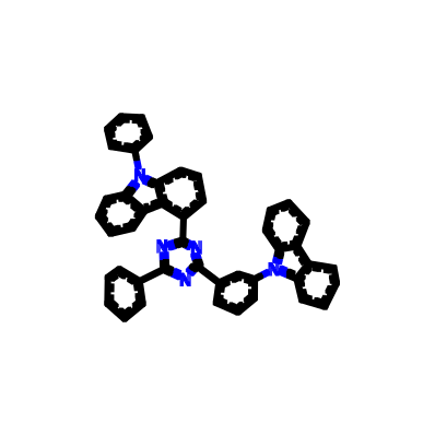 c1ccc(-c2nc(-c3cccc(-n4c5ccccc5c5ccccc54)c3)nc(-c3cccc4c3c3ccccc3n4-c3ccccc3)n2)cc1